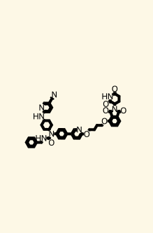 N#Cc1ccc(NC2CCC(N(C(=O)NCc3ccccc3)c3ccc(-c4ccc(OCCCCOc5cccc6c5C(=O)N(C5CCC(=O)NC5=O)C6=O)nc4)cc3)CC2)nc1